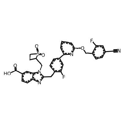 N#Cc1ccc(COc2cccc(-c3ccc(Cc4nc5ccc(C(=O)O)cc5n4CC4CCS4(=O)=O)c(F)c3)n2)c(F)c1